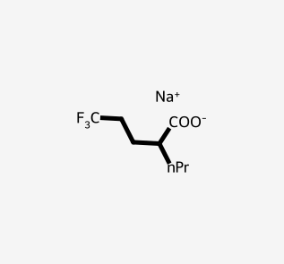 CCCC(CCC(F)(F)F)C(=O)[O-].[Na+]